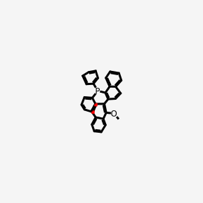 COc1c(-c2ccc3ccccc3c2P(c2ccccc2)c2ccccc2)ccc2ccccc12